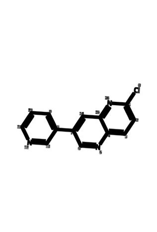 Clc1ccc2ncc(-c3cccnc3)cc2n1